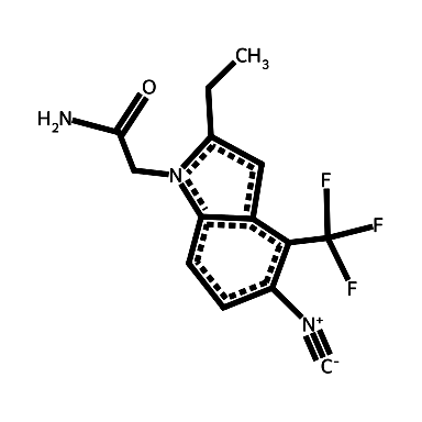 [C-]#[N+]c1ccc2c(cc(CC)n2CC(N)=O)c1C(F)(F)F